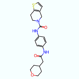 O=C(CC1CCOCC1)Nc1ccc(NC(=O)N2CCc3sccc3C2)cc1